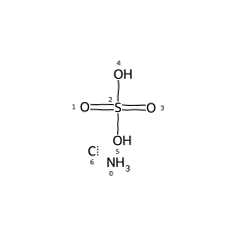 N.O=S(=O)(O)O.[C]